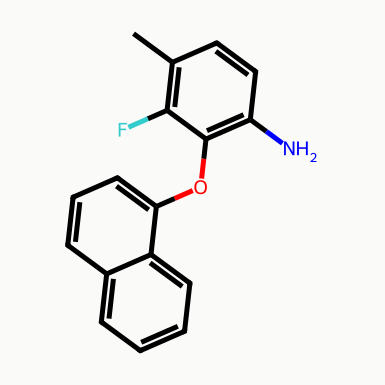 Cc1ccc(N)c(Oc2cccc3ccccc23)c1F